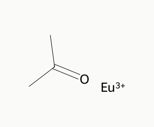 CC(C)=O.[Eu+3]